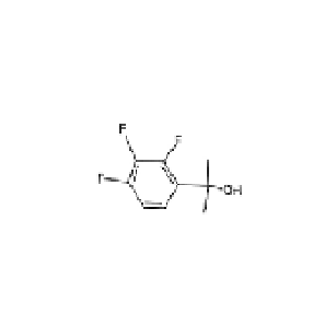 CC(C)(O)c1ccc(F)c(F)c1F